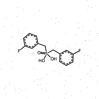 O=S(O)(O)(Cc1cccc(F)c1)Cc1cccc(F)c1